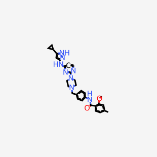 COc1cc(C)ccc1C(=O)Nc1ccc(CN2CCN(c3nccc(Nc4cc(C5CC5)[nH]n4)n3)CC2)cc1